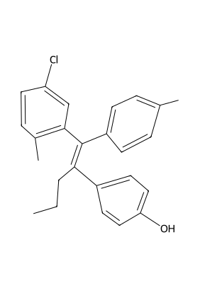 CCC/C(=C(/c1ccc(C)cc1)c1cc(Cl)ccc1C)c1ccc(O)cc1